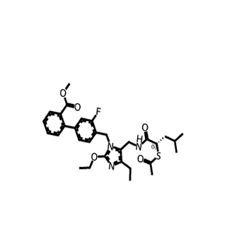 CCOc1nc(CC)c(CNC(=O)[C@H](CC(C)C)SC(C)=O)n1Cc1ccc(-c2ccccc2C(=O)OC)cc1F